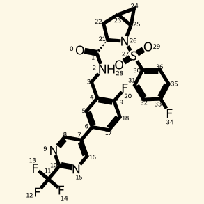 O=C(NCc1cc(-c2cnc(C(F)(F)F)nc2)ccc1F)[C@@H]1CC2CC2N1S(=O)(=O)c1ccc(F)cc1